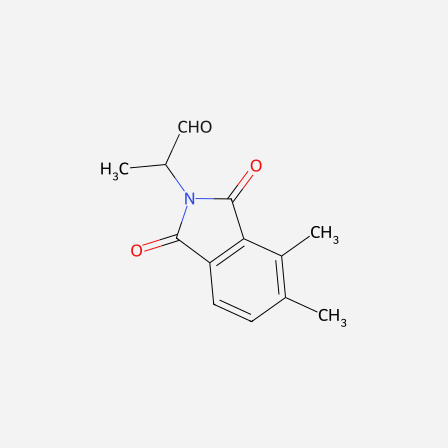 Cc1ccc2c(c1C)C(=O)N(C(C)C=O)C2=O